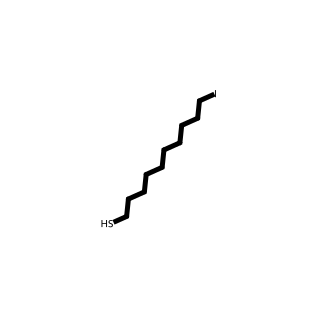 SCCCCCCCCCCI